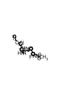 CS(=O)(=O)NCc1cc(F)cc(-c2cccc3[nH]c(-c4n[nH]c5ccc(-c6cncc(OCCN7CCCC7)c6)nc45)cc23)c1